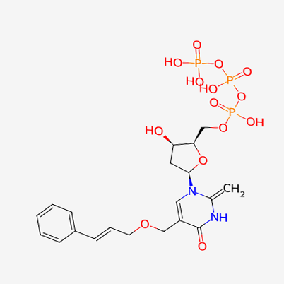 C=C1NC(=O)C(COC/C=C/c2ccccc2)=CN1[C@H]1C[C@@H](O)[C@@H](COP(=O)(O)OP(=O)(O)OP(=O)(O)O)O1